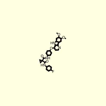 COc1cc2[nH]c3c(Oc4ccc(NC(=O)C5(C(=O)Nc6ccc(F)cc6)CC5)cc4)ccnc3c2cc1OC